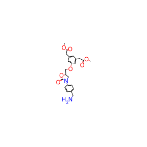 COC(=O)Cc1cc(CC(=O)OC)cc(OCC2CN(c3ccc(CN)cc3)C(=O)O2)c1